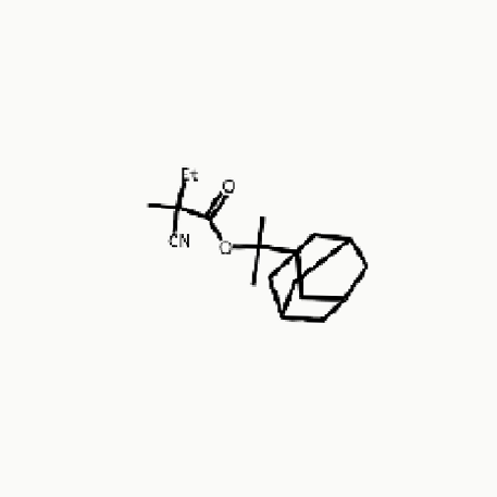 CCC(C)(C#N)C(=O)OC(C)(C)C12CC3CC(CC(C3)C1)C2